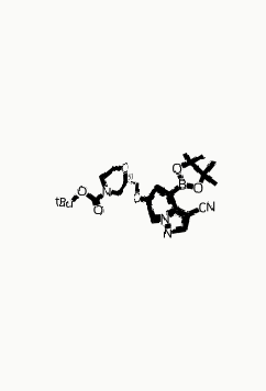 CC(C)(C)OC(=O)N1CCO[C@H](COc2cc(B3OC(C)(C)C(C)(C)O3)c3c(C#N)cnn3c2)C1